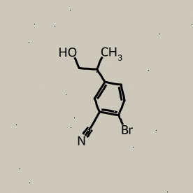 C[C](CO)c1ccc(Br)c(C#N)c1